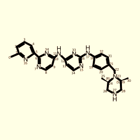 Cc1cccc(-c2nccc(Nc3ccnc(Nc4ccc(CN5[C@H](C)CNC[C@@H]5C)cc4)n3)n2)n1